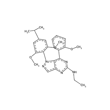 CCNc1nc(-c2ccccc2OC)c2c(cnn2-c2c(OC)cc(C(C)C)cc2OC)n1